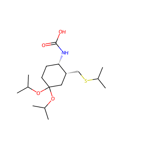 CC(C)OC1(OC(C)C)CC[C@H](NC(=O)O)[C@H](CSC(C)C)C1